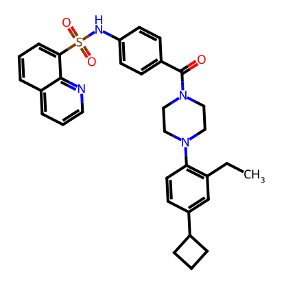 CCc1cc(C2CCC2)ccc1N1CCN(C(=O)c2ccc(NS(=O)(=O)c3cccc4cccnc34)cc2)CC1